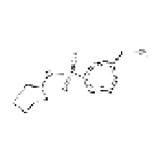 CCc1cccc(S(=O)(=O)OC2CCCC2)c1